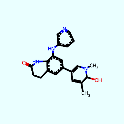 CC1=CC(c2cc3c(c(Nc4cccnc4)c2)NC(=O)CC3)=CN(C)C1O